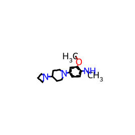 CNc1ccc(N2CCC(N3CCC3)CC2)cc1OC